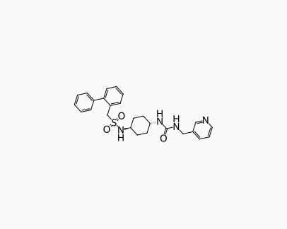 O=C(NCc1cccnc1)N[C@H]1CC[C@H](NS(=O)(=O)Cc2ccccc2-c2ccccc2)CC1